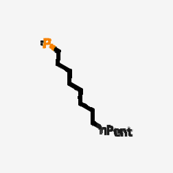 CCCCCCCCCCCCC[P]